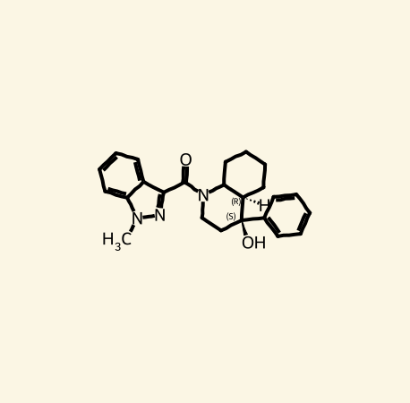 Cn1nc(C(=O)N2CC[C@@](O)(c3ccccc3)[C@@H]3CCCCC32)c2ccccc21